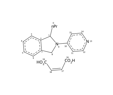 CCCC1c2ccccc2CN1c1ccncc1.O=C(O)/C=C\C(=O)O